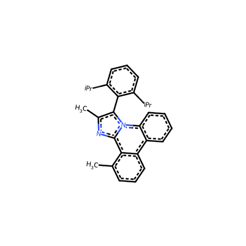 Cc1nc2c3c(C)cccc3c3ccccc3n2c1-c1c(C(C)C)cccc1C(C)C